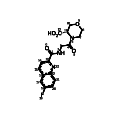 O=C(NCC(=O)N1CCOC[C@H]1C(=O)O)c1ccc2cc(F)ccc2n1